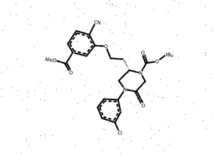 COC(=O)c1ccc(C#N)c(OCC[C@H]2CN(c3cccc(Cl)c3)C(=O)CN2C(=O)OC(C)(C)C)c1